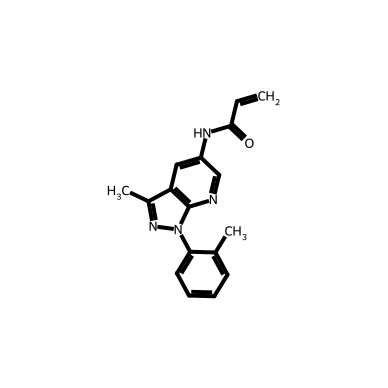 C=CC(=O)Nc1cnc2c(c1)c(C)nn2-c1ccccc1C